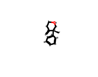 C=C1CCOC[C@]1(C)c1ccccc1